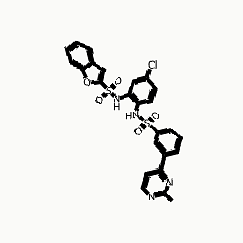 Cc1nccc(-c2cccc(S(=O)(=O)Nc3ccc(Cl)cc3NS(=O)(=O)c3cc4ccccc4o3)c2)n1